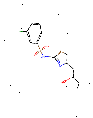 CCC(O)Cc1csc(NS(=O)(=O)c2cccc(F)c2)n1